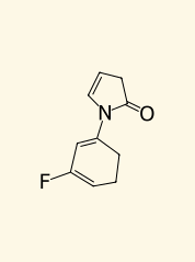 O=C1CC=CN1C1=CC(F)=CCC1